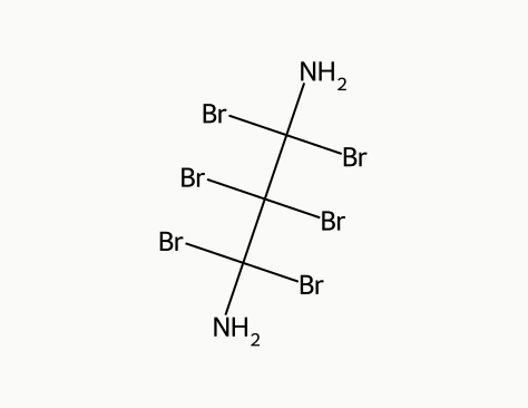 NC(Br)(Br)C(Br)(Br)C(N)(Br)Br